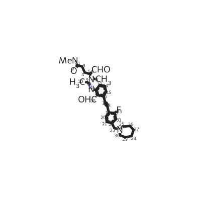 CNC(=O)CCC(C=O)N(C)/C(C)=N\c1cccc(C#Cc2ccc(CN3CCCCCC3)cc2F)c1C=O